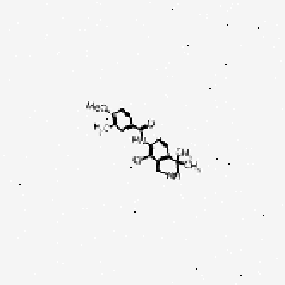 COc1ccc(C(=O)Nc2ccc3c(c2Cl)CNCC3(C)C)cc1C(F)(F)F